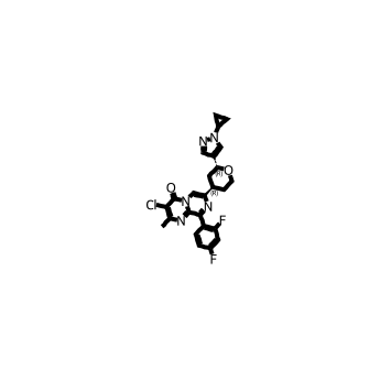 Cc1nc2c(-c3ccc(F)cc3F)nc([C@@H]3CCO[C@@H](c4cnn(C5CC5)c4)C3)cn2c(=O)c1Cl